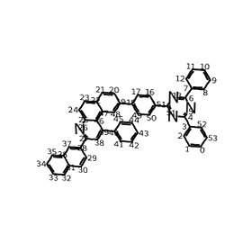 c1ccc(-c2nc(-c3ccccc3)nc(-c3ccc(-c4ccc5ccc6nc(-c7ccc8ccccc8c7)cc(-c7ccccc7)c6c5c4)cc3)n2)cc1